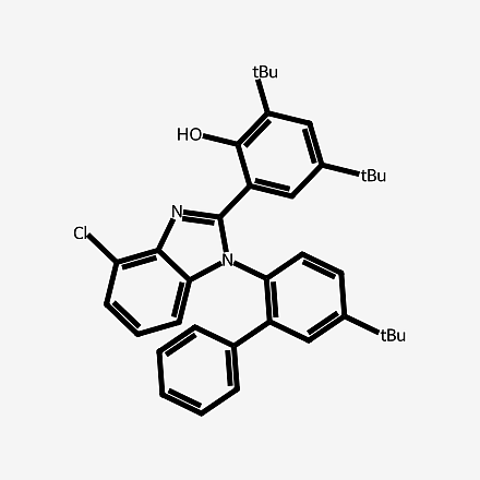 CC(C)(C)c1ccc(-n2c(-c3cc(C(C)(C)C)cc(C(C)(C)C)c3O)nc3c(Cl)cccc32)c(-c2ccccc2)c1